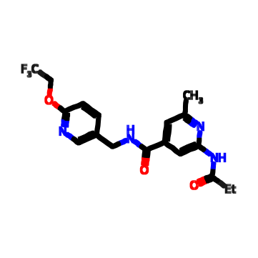 CCC(=O)Nc1cc(C(=O)NCc2ccc(OCC(F)(F)F)nc2)cc(C)n1